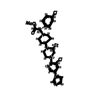 CC[C@H]1CN(c2ncc(-n3ccnc3)cc2Cl)CCN1C1CCN([C@H](C(=O)OC)c2ccc(Cl)cc2)CC1